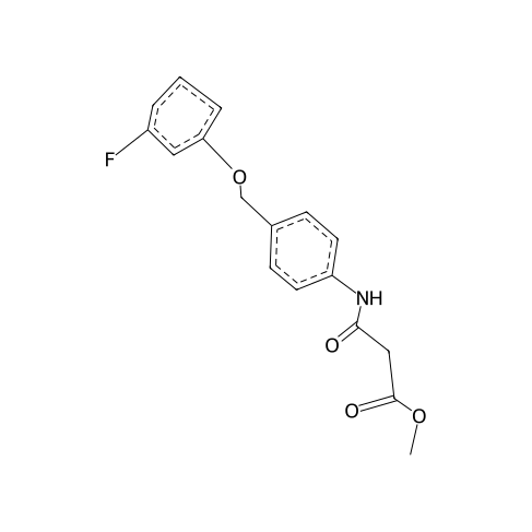 COC(=O)CC(=O)Nc1ccc(COc2cccc(F)c2)cc1